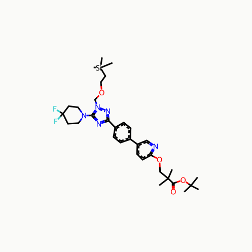 CC(C)(C)OC(=O)C(C)(C)COc1ccc(-c2ccc(-c3nc(N4CCC(F)(F)CC4)n(COCC[Si](C)(C)C)n3)cc2)cn1